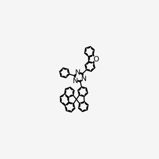 c1ccc(-c2nc(-c3ccc4c(c3)C3(c5ccccc5-4)c4cccc5ccc6cccc3c6c45)nc(-c3ccc4oc5ccccc5c4c3)n2)cc1